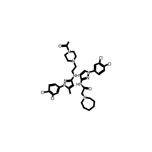 CC(=O)N1CCN(CCNc2cc(C)n(-c3ccc(Cl)c(Cl)c3)n2)CC1.O=C(CN1CCCCCC1)Nc1ccn(-c2ccc(Cl)c(Cl)c2)n1